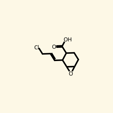 O=C(O)C1CCC2OC2C1C=CCCl